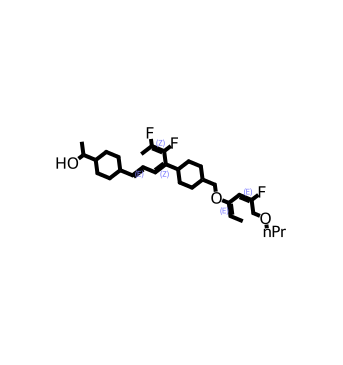 C/C=C(\C=C(\F)COCCC)OCC1CCC(C(=C/C=C/C2CCC(C(C)O)CC2)/C(F)=C(\C)F)CC1